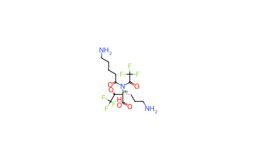 NCCCCC(=O)N(C(=O)C(F)(F)F)[C@@](CCCN)(C(=O)O)C(=O)C(F)(F)F